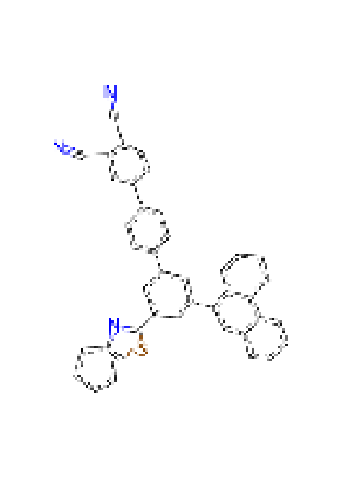 N#Cc1ccc(-c2ccc(-c3cc(-c4nc5ccccc5s4)cc(-c4cc5ccccc5c5ccccc45)c3)cc2)cc1C#N